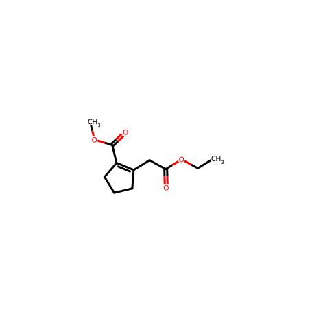 CCOC(=O)CC1=C(C(=O)OC)CCC1